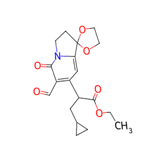 CCOC(=O)C(CC1CC1)c1cc2n(c(=O)c1C=O)CCC21OCCO1